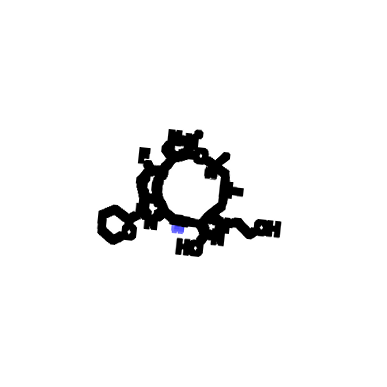 C[C@H]1CN(C)Cc2c(c(O)nn2CCO)/C=C/c2nn(C3CCCCO3)c3cc(F)c(cc23)-c2cnn(C)c2O1